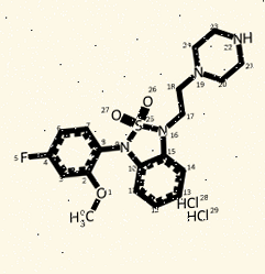 COc1cc(F)ccc1N1c2ccccc2N(CCN2CCNCC2)S1(=O)=O.Cl.Cl